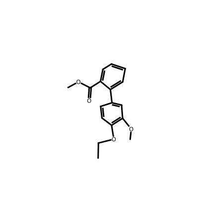 CCOc1ccc(-c2ccccc2C(=O)OC)cc1OC